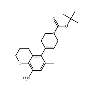 Cc1cc(N)c2c(c1C1=CCN(C(=O)OC(C)(C)C)CC1)CCCO2